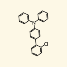 Clc1ccccc1-c1ccc(N(c2ccccc2)c2ccccc2)cc1